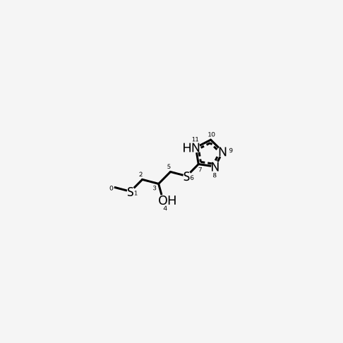 CSCC(O)CSc1nnc[nH]1